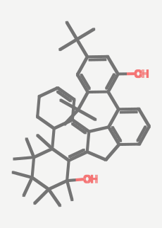 CC(C)(C)c1cc(O)c(-c2cccc3c2C2=C4C=CCCC4C4(C)C(=C2C3)C(C)(O)C(C)(C)C(C)(C)C4(C)C)c(C(C)(C)C)c1